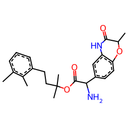 Cc1cccc(CCC(C)(C)OC(=O)C(N)c2ccc3c(c2)NC(=O)C(C)O3)c1C